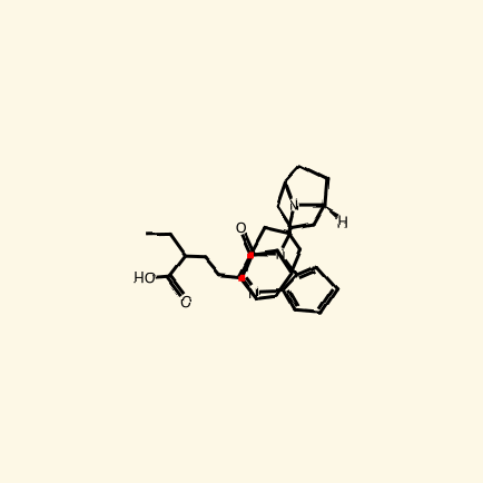 CCC(CCc1nc2ccccc2n(C2CC3CC[C@H](C2)N3C2CC3CCCC(C3)C2)c1=O)C(=O)O